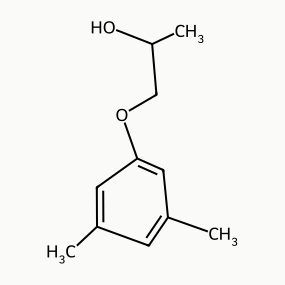 Cc1cc(C)cc(OCC(C)O)c1